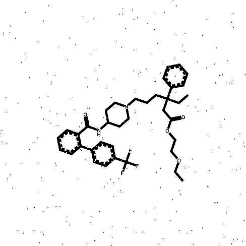 CCOCCOC(=O)CC(CC)(CCCN1CCC(NC(=O)c2ccccc2-c2ccc(C(F)(F)F)cc2)CC1)c1ccccc1